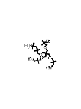 CCC(C)(C)COCC(COCC(C)(C)CC(C)(C)C)(COCC(C)(C)CC(C)(C)C)COCC(C)(C)CC(C)(C)N